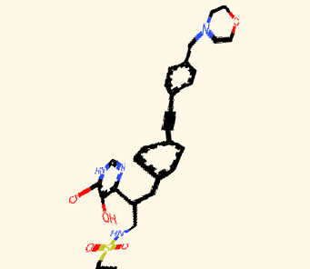 CCS(=O)(=O)NCC(Cc1ccc(C#Cc2ccc(CN3CCOCC3)cc2)cc1)c1nc[nH]c(=O)c1O